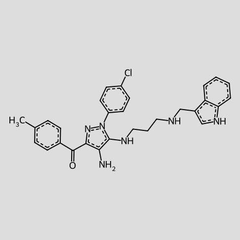 Cc1ccc(C(=O)c2nn(-c3ccc(Cl)cc3)c(NCCCNCc3c[nH]c4ccccc34)c2N)cc1